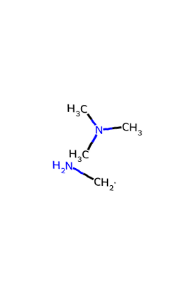 CN(C)C.[CH2]N